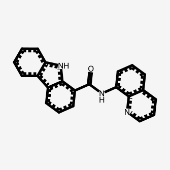 O=C(Nc1cccc2cccnc12)c1cccc2c1[nH]c1ccccc12